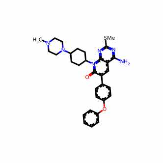 CSc1nc(N)c2cc(-c3ccc(Oc4ccccc4)cc3)c(=O)n(C3CCC(N4CCN(C)CC4)CC3)c2n1